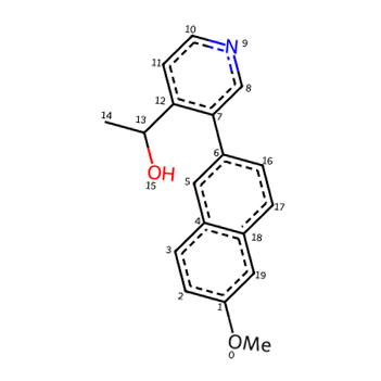 COc1ccc2cc(-c3cnccc3C(C)O)ccc2c1